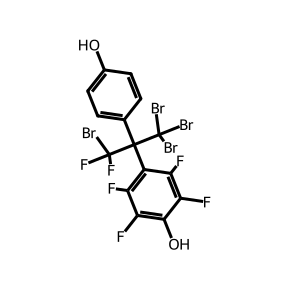 Oc1ccc(C(c2c(F)c(F)c(O)c(F)c2F)(C(F)(F)Br)C(Br)(Br)Br)cc1